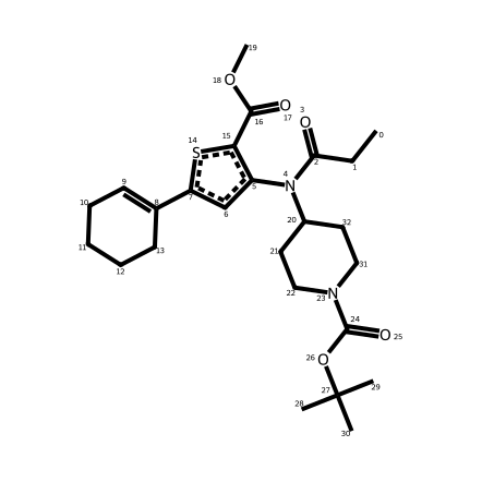 CCC(=O)N(c1cc(C2=CCCCC2)sc1C(=O)OC)C1CCN(C(=O)OC(C)(C)C)CC1